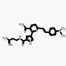 CN(C)c1ccc(C=Cc2ccc(C(N)=O)c(-c3c[nH]c(C(=O)NCCC(=N)N)c3)n2)cc1